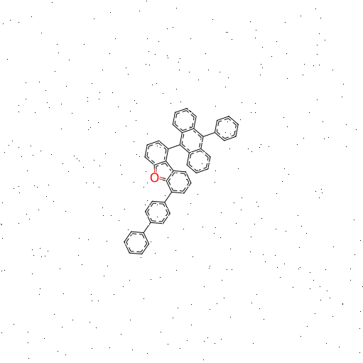 c1ccc(-c2ccc(-c3cccc4c3oc3cccc(-c5c6ccccc6c(-c6ccccc6)c6ccccc56)c34)cc2)cc1